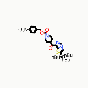 CCC[CH2][Sn]([CH2]CCC)([CH2]CCC)[c]1cn2cnc(C(=O)C3CCN(C(=O)OCc4ccc([N+](=O)[O-])cc4)CC3)c2s1